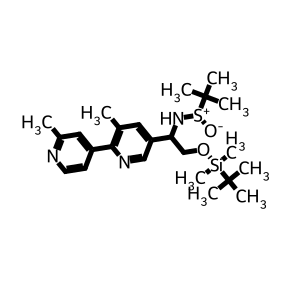 Cc1cc(-c2ncc(C(CO[Si](C)(C)C(C)(C)C)N[S+]([O-])C(C)(C)C)cc2C)ccn1